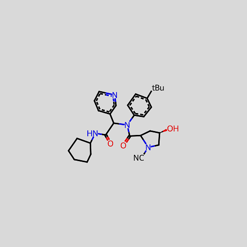 CC(C)(C)c1ccc(N(C(=O)C2C[C@@H](O)CN2C#N)C(C(=O)NC2CCCCC2)c2cccnc2)cc1